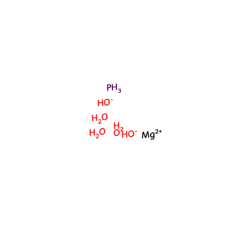 O.O.O.P.[Mg+2].[OH-].[OH-]